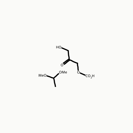 COC(C)OC.O=C(CO)COC(=O)O